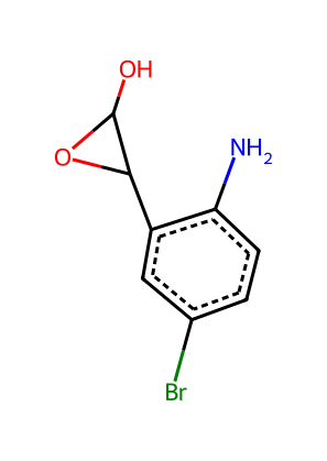 Nc1ccc(Br)cc1C1OC1O